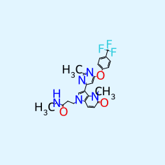 CNC(=O)CCn1cc(-c2cc(Oc3ccc(C(F)(F)F)cc3)nc(C)n2)c2c1ccc(=O)n2C